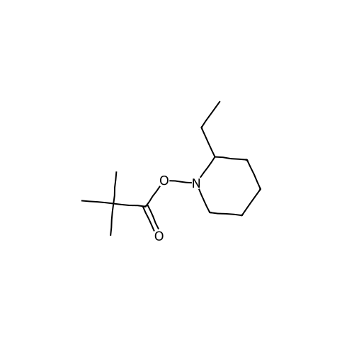 CCC1CCCCN1OC(=O)C(C)(C)C